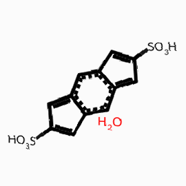 O.O=S(=O)(O)C1=Cc2cc3c(cc2=C1)C=C(S(=O)(=O)O)C=3